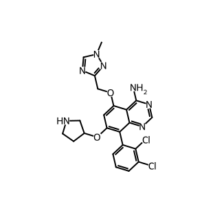 Cn1cnc(COc2cc(OC3CCNC3)c(-c3cccc(Cl)c3Cl)c3ncnc(N)c23)n1